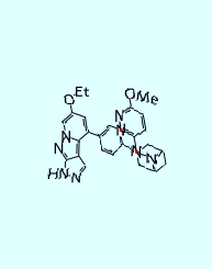 CCOc1cc(-c2ccc(N3CC4CC(C3)N4Cc3ccc(OC)nc3)nc2)c2c3cn[nH]c3nn2c1